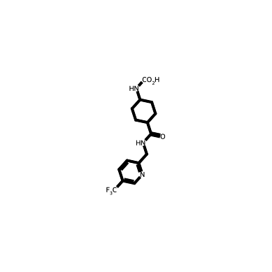 O=C(O)NC1CCC(C(=O)NCc2ccc(C(F)(F)F)cn2)CC1